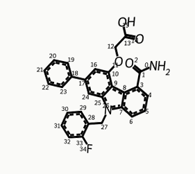 NC(=O)c1cccc2c1c1c(OCC(=O)O)cc(-c3ccccc3)cc1n2Cc1ccccc1F